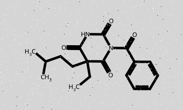 CCC1(CCC(C)C)C(=O)NC(=O)N(C(=O)c2ccccc2)C1=O